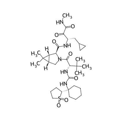 CNC(=O)C(=O)[C@H](CC1CC1)NC(=O)[C@@H]1[C@@H]2[C@H](CN1C(=O)[C@@H](NC(=O)NC1([C@H]3CCCS3(=O)=O)CCCCC1)C(C)(C)C)C2(C)C